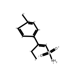 CCC(=CS(N)(=O)=O)c1ccc(C)cc1